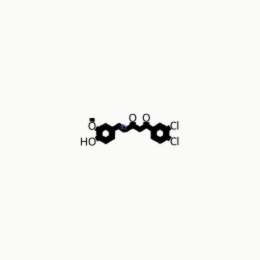 COc1cc(/C=C/C(=O)CC(=O)c2ccc(Cl)c(Cl)c2)ccc1O